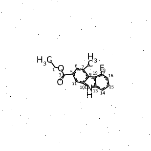 CCOC(=O)c1cc(C)c2c(c1)[nH]c1cccc(F)c12